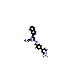 Cc1cc(-c2ccc(CNc3cc(-c4ccc5ccccc5c4)nc(C)n3)cc2)ccn1